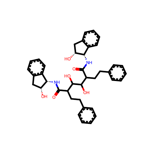 O=C(N[C@H]1c2ccccc2C[C@H]1O)C(CCc1ccccc1)C(O)C(O)C(CCc1ccccc1)C(=O)N[C@H]1c2ccccc2C[C@H]1O